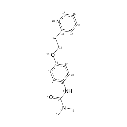 CN(C)C(=O)Nc1ccc(OCCc2ccccn2)cc1